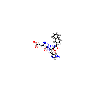 N[C@@H](CCC(=O)O)C(=O)N[C@@H](Cc1c[nH]cn1)C(=O)NC(=O)c1ccc2ccccc2c1